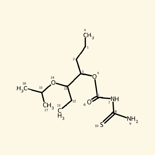 CCCC(OC(=O)NC(N)=S)C(CC)OC(C)C